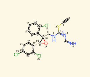 C#CS/C(=N/C=N)NC[C@]1(c2ccccc2Cl)O[C@@H]1c1ccc(Cl)cc1Cl